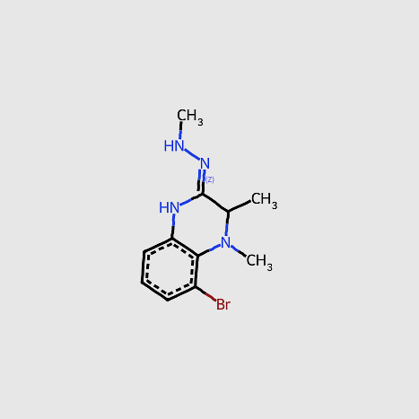 CN/N=C1\Nc2cccc(Br)c2N(C)C1C